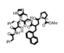 COC(=O)[C@@H]1CCCN1C(=O)CC(Cc1cccc2ccccc12)C(=O)N[C@@H](Cc1c[nH]cn1)C(=O)N[C@@H](CC(C)C)C(O)C(=O)NC(=O)CC(C)C